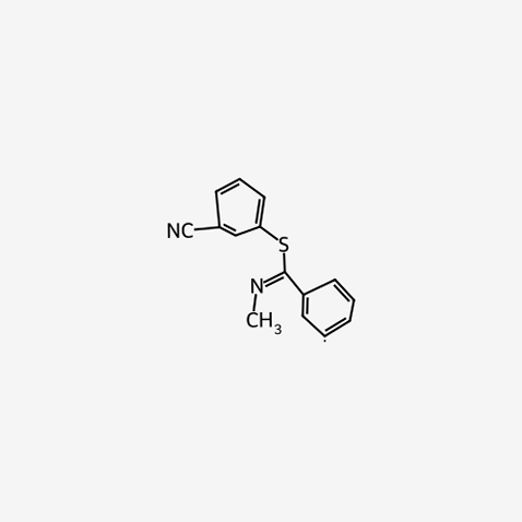 CN=C(Sc1cccc(C#N)c1)c1c[c]ccc1